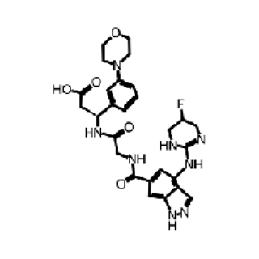 O=C(O)C[C@H](NC(=O)CNC(=O)c1cc(NC2=NCC(F)CN2)c2cn[nH]c2c1)c1cccc(N2CCOCC2)c1